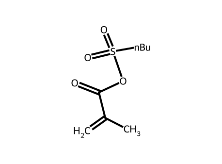 [CH2]CCCS(=O)(=O)OC(=O)C(=C)C